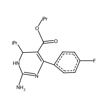 CC(C)OC(=O)C1=C(c2ccc(F)cc2)N=C(N)NC1C(C)C